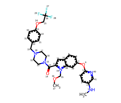 CNc1ccc(Oc2ccc3cc(C(=O)N4CCN(Cc5ccc(OCC(F)(F)F)cc5)CC4)n(COC)c3c2)nc1